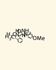 COc1ccc(N=NC(C(N)=O)=C2NC(C)(C)Cc3ccccc32)cc1